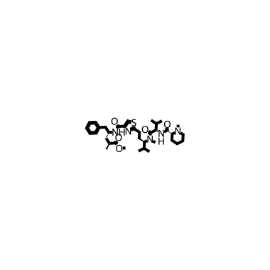 COC(=O)[C@@H](C)C[C@H](Cc1ccccc1)NC(=O)c1csc(CC[C@H](C(C)C)N(C)C(=O)[C@@H](NC(=O)[C@H]2CCCCN2C)C(C)C)n1